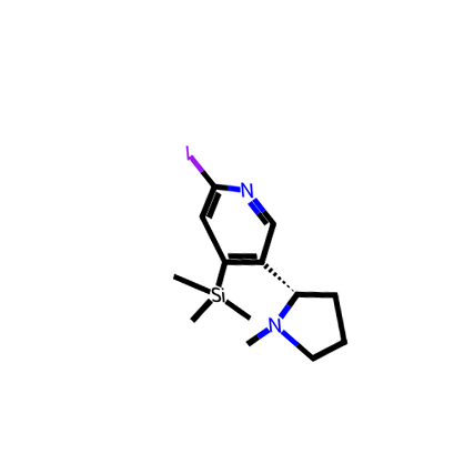 CN1CCC[C@H]1c1cnc(I)cc1[Si](C)(C)C